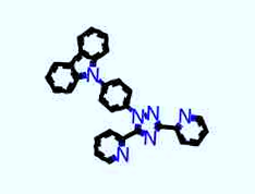 c1ccc(-c2nc(-c3ccccn3)n(-c3ccc(-n4c5ccccc5c5ccccc54)cc3)n2)nc1